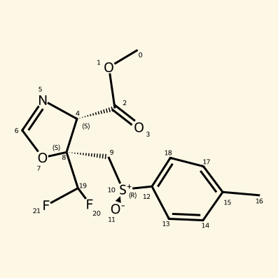 COC(=O)[C@H]1N=CO[C@]1(C[S@+]([O-])c1ccc(C)cc1)C(F)F